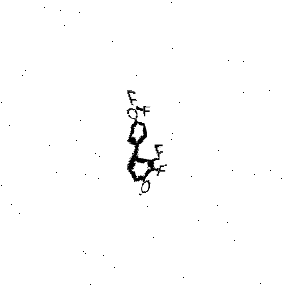 COc1ccc(-c2ccc(OC(F)F)cc2)c(F)c1F